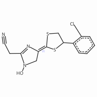 N#CCC1=N/C(=C2\SCC(c3ccccc3Cl)S2)CN1O